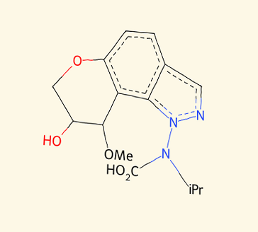 COC1c2c(ccc3cnn(N(C(=O)O)C(C)C)c23)OCC1O